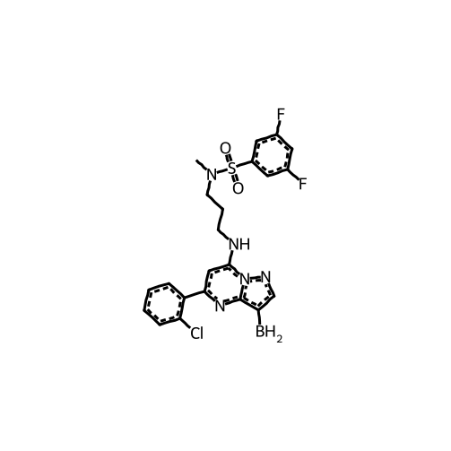 Bc1cnn2c(NCCCN(C)S(=O)(=O)c3cc(F)cc(F)c3)cc(-c3ccccc3Cl)nc12